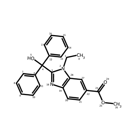 CCn1c(C(O)(c2ccccc2)c2ccccc2)nc2ccc(C(=O)OC)cc21